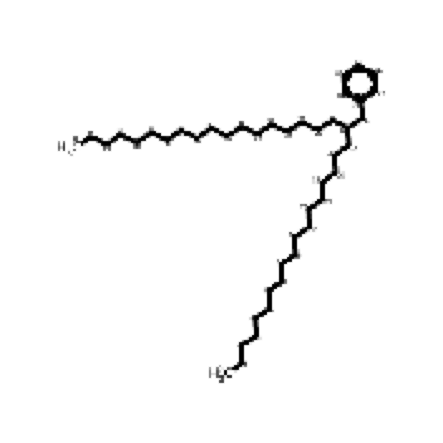 CCCCCCCCCCCCCCCCCC[C](CCCCCCCCCCCCCCCCCC)Cc1ccccc1